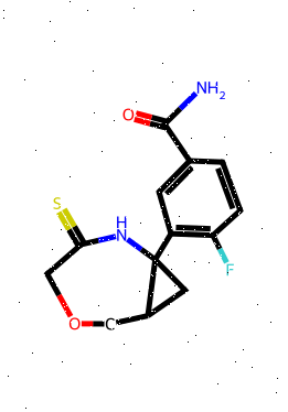 NC(=O)c1ccc(F)c(C23CC2COCC(=S)N3)c1